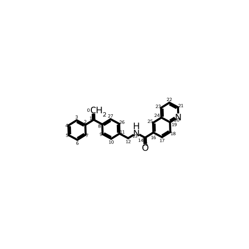 C=C(c1ccccc1)c1ccc(CNC(=O)c2ccc3ncccc3c2)cc1